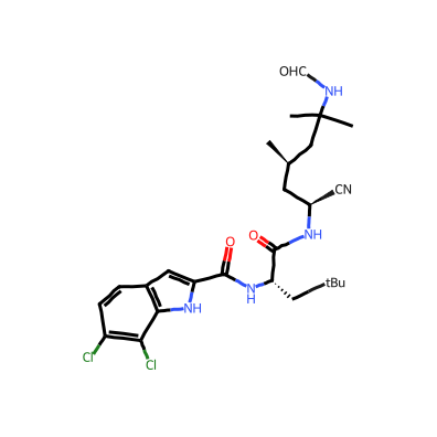 C[C@H](C[C@@H](C#N)NC(=O)[C@H](CC(C)(C)C)NC(=O)c1cc2ccc(Cl)c(Cl)c2[nH]1)CC(C)(C)NC=O